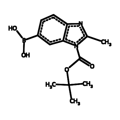 Cc1nc2ccc(B(O)O)cc2n1C(=O)OC(C)(C)C